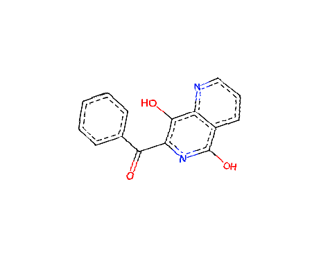 O=C(c1ccccc1)c1nc(O)c2cccnc2c1O